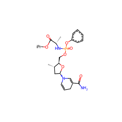 CC(C)OC(=O)[C@H](C)NP(=O)(OC[C@H]1O[C@@H](N2C=CCC(C(N)=O)=C2)C[C@@H]1C)Oc1ccccc1